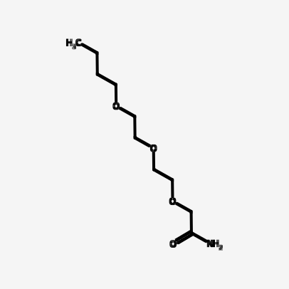 CCCCOCCOCCOCC(N)=O